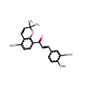 COc1ccc(/C=C/C(=O)c2ccc(OC)c3c2OC(C)(C)C=C3)cc1NC(C)=O